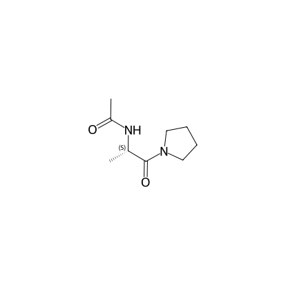 CC(=O)N[C@@H](C)C(=O)N1CCCC1